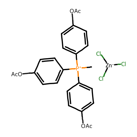 CC(=O)Oc1ccc([P+](C)(c2ccc(OC(C)=O)cc2)c2ccc(OC(C)=O)cc2)cc1.[Cl][Zn-]([Cl])[Cl]